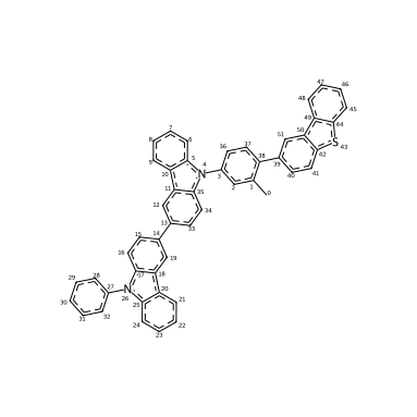 Cc1cc(-n2c3ccccc3c3cc(-c4ccc5c(c4)c4ccccc4n5-c4ccccc4)ccc32)ccc1-c1ccc2sc3ccccc3c2c1